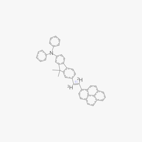 [2H]/C(=C(/[2H])c1ccc2ccc3cccc4ccc1c2c34)c1ccc2c(c1)C(C)(C)c1cc(N(c3ccccc3)c3ccccc3)ccc1-2